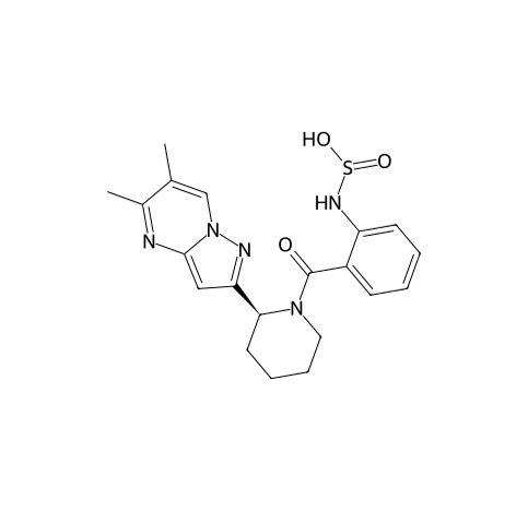 Cc1cn2nc([C@@H]3CCCCN3C(=O)c3ccccc3NS(=O)O)cc2nc1C